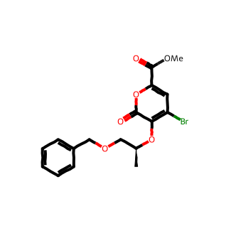 COC(=O)c1cc(Br)c(O[C@@H](C)COCc2ccccc2)c(=O)o1